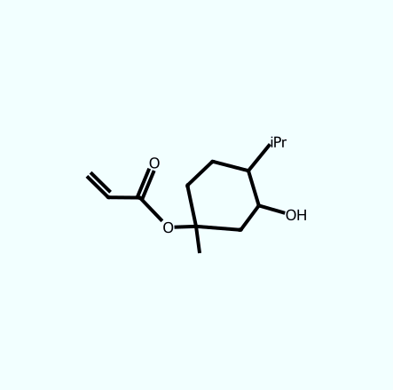 C=CC(=O)OC1(C)CCC(C(C)C)C(O)C1